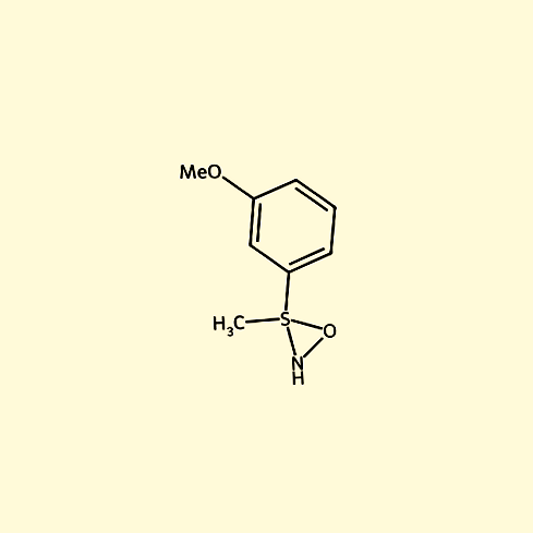 COc1cccc(S2(C)NO2)c1